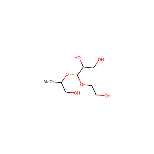 COC(CO)O[C@@H](OCCO)C(O)CO